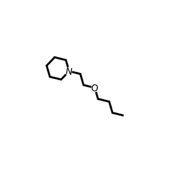 CCCCOCCN1CCCCC1